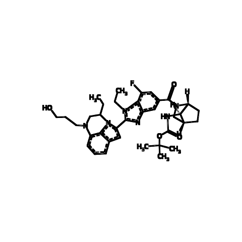 CCC1CN(CCCO)c2cccc3cc(-c4nc5cc(C(=O)N6C[C@H]7CC[C@@H]6[C@@H]7NC(=O)OC(C)(C)C)cc(F)c5n4CC)n1c23